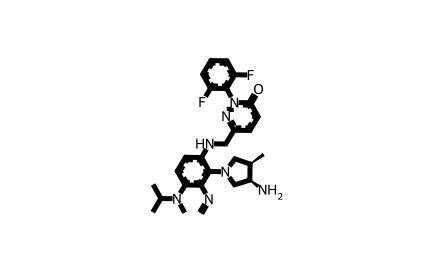 C=Nc1c(N(C)C(C)C)ccc(NCc2ccc(=O)n(-c3c(F)cccc3F)n2)c1N1C[C@@H](C)[C@@H](N)C1